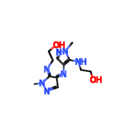 CN1N=CC(=N/c2cnn(C)c2NCCO)/C1=N\CCO